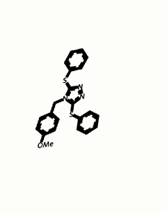 COc1ccc(Cn2c(Sc3ccccc3)nnc2Sc2ccccc2)cc1